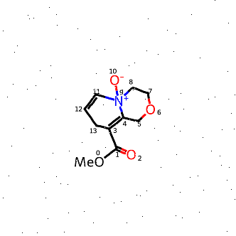 COC(=O)C1=C2COCC[N+]2([O-])C=CC1